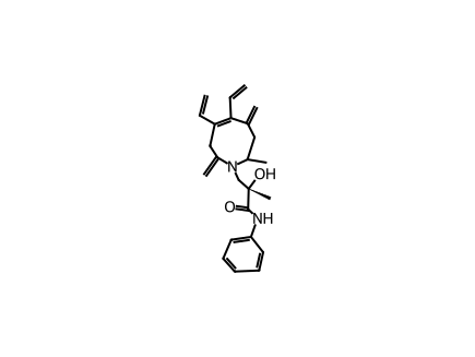 C=C/C1=C(\C=C)C(=C)CC(C)N(C[C@](C)(O)C(=O)Nc2ccccc2)C(=C)C1